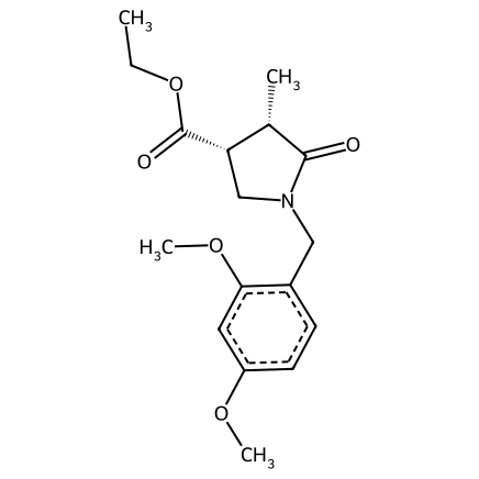 CCOC(=O)[C@H]1CN(Cc2ccc(OC)cc2OC)C(=O)[C@H]1C